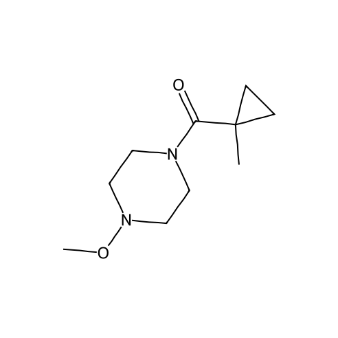 CON1CCN(C(=O)C2(C)CC2)CC1